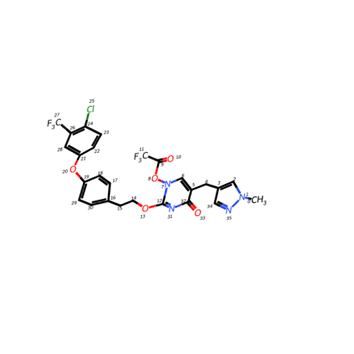 Cn1cc(Cc2cn(OC(=O)C(F)(F)F)c(OCCc3ccc(Oc4ccc(Cl)c(C(F)(F)F)c4)cc3)nc2=O)cn1